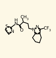 CC(CCn1nc(C(F)(F)F)c2c1CCCC2)C(=O)Nc1nccs1